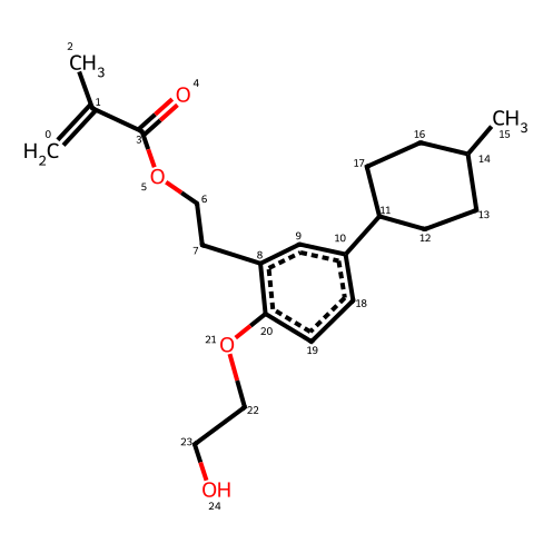 C=C(C)C(=O)OCCc1cc(C2CCC(C)CC2)ccc1OCCO